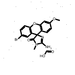 COc1ccc2c(c1)Oc1ccc(Br)cc1C21N=C(N)N(C)C1=O.O=CO